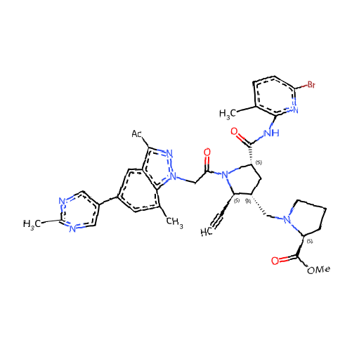 C#C[C@@H]1[C@@H](CN2CCC[C@H]2C(=O)OC)C[C@@H](C(=O)Nc2nc(Br)ccc2C)N1C(=O)Cn1nc(C(C)=O)c2cc(-c3cnc(C)nc3)cc(C)c21